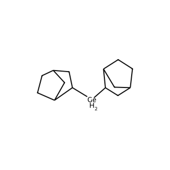 C1CC2CC1C[CH]2[GeH2][CH]1CC2CCC1C2